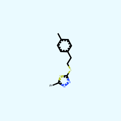 Cc1ccc(CCSc2nnc(C(C)C)s2)cc1